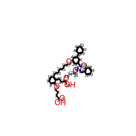 O=C(O)CCCOc1cccc(CCCCCCOc2cc(C(=O)N(Cc3ccccc3)OC(F)F)cc(-c3ccccc3)c2)c1CCC(=O)O